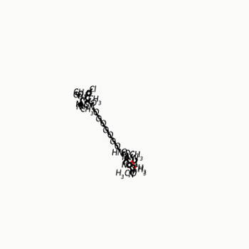 COC(=O)C[C@@H]1N=C(c2ccc(Cl)cc2)c2c(sc(C(=O)NCCOCCOCCOCCOCCOCCOCCOCCNC(=O)Cn3c(=O)n(C(C)c4ccccn4)c4c5cc(OC)c(-c6c(C)noc6C)cc5ncc43)c2C)-n2c(C)nnc21